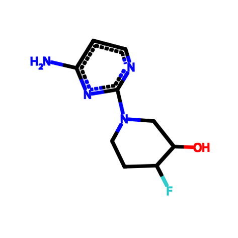 Nc1ccnc(N2CCC(F)C(O)C2)n1